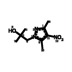 Cc1nn(CC(C)(C)O)c(C)c1[N+](=O)[O-]